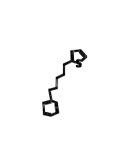 c1ccc(CCCCCc2cccs2)cc1